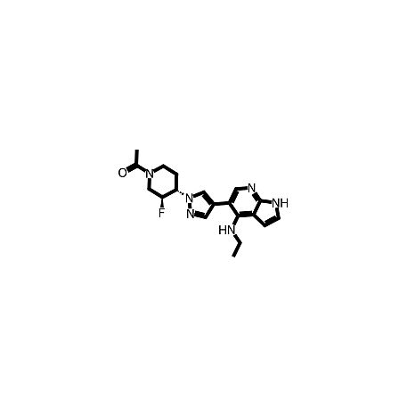 CCNc1c(-c2cnn([C@H]3CCN(C(C)=O)C[C@@H]3F)c2)cnc2[nH]ccc12